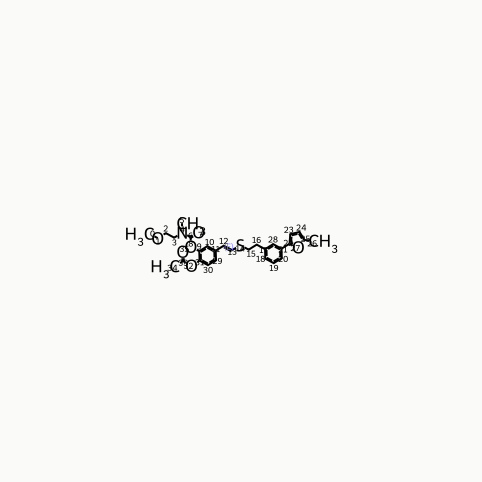 COCCN(C)C(=O)Oc1cc(/C=C/SCCc2cccc(-c3ccc(C)o3)c2)ccc1OC(C)=O